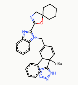 CCCCC1(c2nnn[nH]2)C=CC(Cn2c(C3=NCC4(CCCCC4)O3)nc3ccccc32)=CC1c1ccccc1